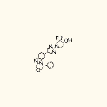 OC1CCN(c2ncc(-c3ccc4nc5n(c4c3)[C@@H](c3ccccc3)COC5)cn2)CC1(F)F